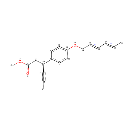 CC#C[C@@H](CC(=O)OC)c1ccc(OC/C=C/C=C/C)cc1